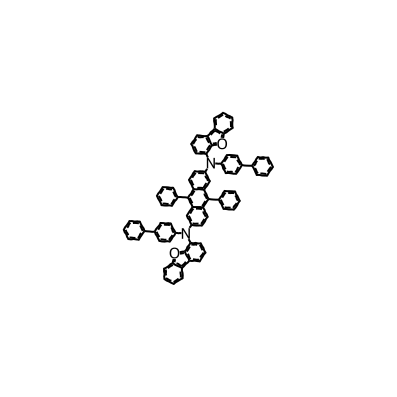 c1ccc(-c2ccc(N(c3ccc4c(-c5ccccc5)c5cc(N(c6ccc(-c7ccccc7)cc6)c6cccc7c6oc6ccccc67)ccc5c(-c5ccccc5)c4c3)c3cccc4c3oc3ccccc34)cc2)cc1